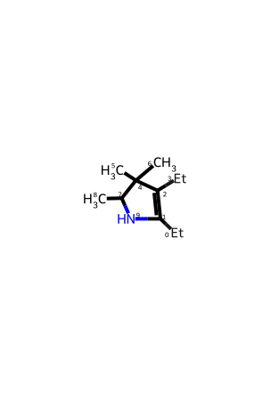 CCC1=C(CC)C(C)(C)C(C)N1